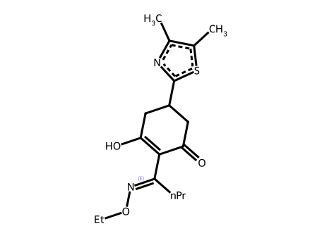 CCC/C(=N\OCC)C1=C(O)CC(c2nc(C)c(C)s2)CC1=O